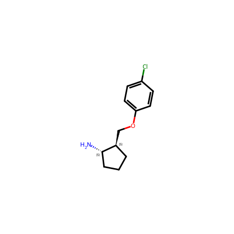 N[C@H]1CCC[C@@H]1COc1ccc(Cl)cc1